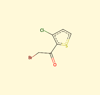 O=C(CBr)c1sccc1Cl